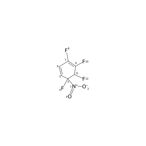 O=[N+]([O-])C1(F)C=CC(F)=C(F)C1F